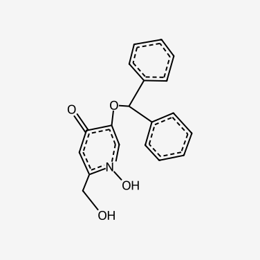 O=c1cc(CO)n(O)cc1OC(c1ccccc1)c1ccccc1